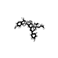 C=C(Cn1c(=O)c(C(=O)NC(C)c2ccc(F)cc2)cc2cc(-c3ccc(F)cc3)cnc21)/N=C\C=C/C